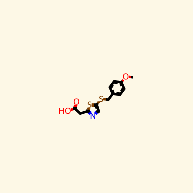 COc1ccc(CSc2cnc(CC(=O)O)s2)cc1